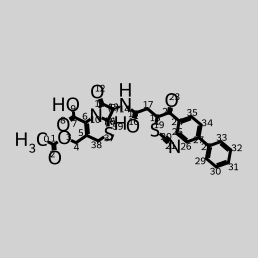 CC(=O)OCC1=C(C(=O)O)N2C(=O)[C@@H](NC(=O)CC(SC#N)C(=O)c3ccc(-c4ccccc4)cc3)[C@H]2SC1